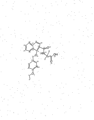 CCOc1ccc(COc2c(C(=O)NC(C)(C)C(=O)O)ccc3ccccc23)cn1